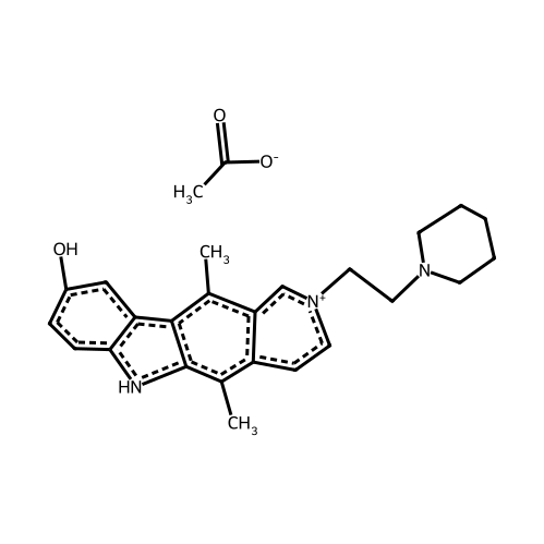 CC(=O)[O-].Cc1c2cc[n+](CCN3CCCCC3)cc2c(C)c2c1[nH]c1ccc(O)cc12